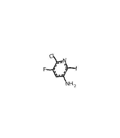 Nc1cc(F)c(Cl)nc1I